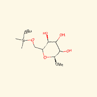 CO[C@H]1OC(CO[Si](C)(C)C(C)(C)C)[C@@H](O)C(O)C1O